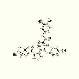 CC[C@@H]1CCC(C)(OC(=O)C2CCCN2C(=O)C(Cc2ccc(O)cc2)NC(=O)C(O)Cc2ccc(O)c(O)c2)C1(C)C